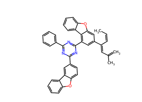 C=C(C)/C=C(\C=C/C)c1cc(-c2nc(-c3ccccc3)nc(-c3ccc4oc5ccccc5c4c3)n2)c2c(c1)oc1ccccc12